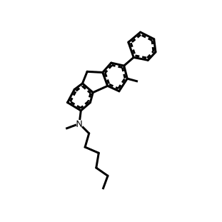 CCCCCCN(C)c1ccc2c(c1)-c1cc(C)c(-c3ccccc3)cc1C2